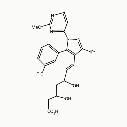 COc1nccc(-n2nc(C(C)C)c(C=CC(O)CC(O)CC(=O)O)c2-c2cccc(C(F)(F)F)c2)n1